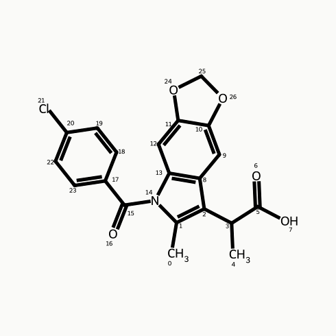 Cc1c(C(C)C(=O)O)c2cc3c(cc2n1C(=O)c1ccc(Cl)cc1)OCO3